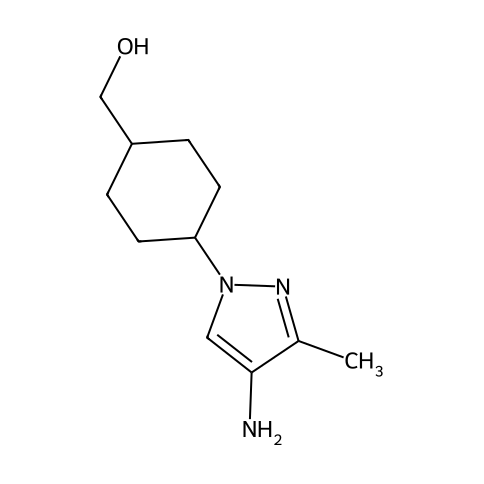 Cc1nn(C2CCC(CO)CC2)cc1N